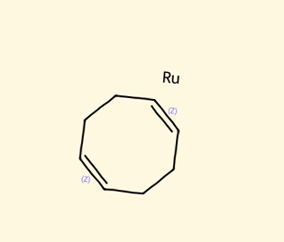 C1=C\CC/C=C\CC/1.[Ru]